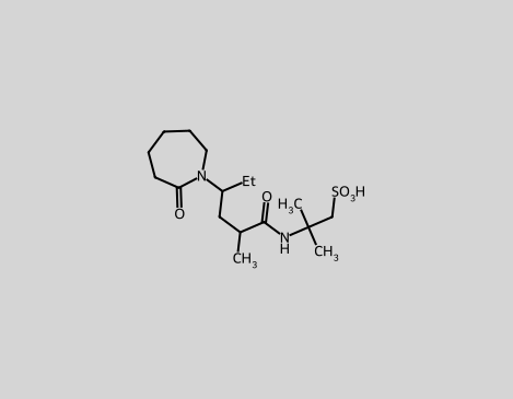 CCC(CC(C)C(=O)NC(C)(C)CS(=O)(=O)O)N1CCCCCC1=O